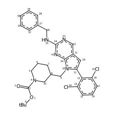 CC(C)(C)OC(=O)N1CCCC(Cn2c(-c3c(Cl)cccc3Cl)cc3cnc(NCc4ccccc4)nc32)C1